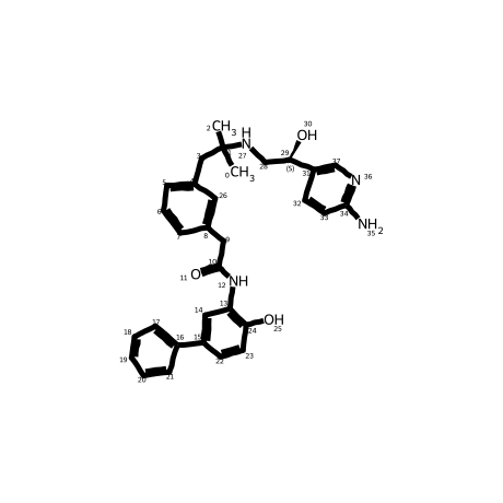 CC(C)(Cc1cccc(CC(=O)Nc2cc(-c3ccccc3)ccc2O)c1)NC[C@@H](O)c1ccc(N)nc1